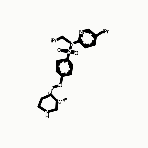 CC(C)CN(c1ccc(C(C)C)cn1)S(=O)(=O)c1ccc(OC[C@H]2CCNC[C@H]2F)cc1